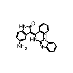 Nc1ccc2c(c1)C(=C(Nc1nc3ccccc3[nH]1)c1ccccc1)C(=O)N2